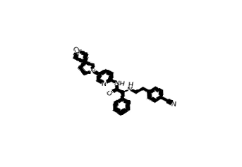 N#Cc1ccc(CCN[C@H](C(=O)Nc2ccc(N3CCC4(COC4)C3)cn2)c2ccccc2)cc1